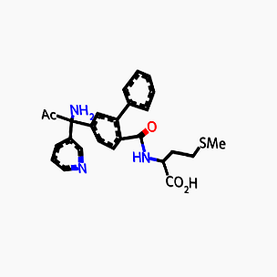 CSCCC(NC(=O)c1ccc(C(N)(C(C)=O)c2cccnc2)cc1-c1ccccc1)C(=O)O